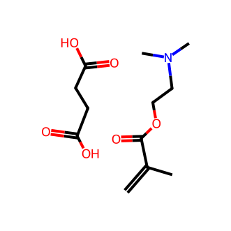 C=C(C)C(=O)OCCN(C)C.O=C(O)CCC(=O)O